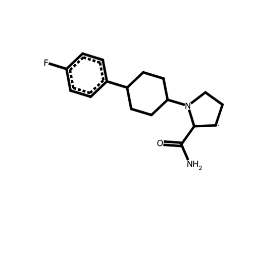 NC(=O)C1[CH]CCN1C1CCC(c2ccc(F)cc2)CC1